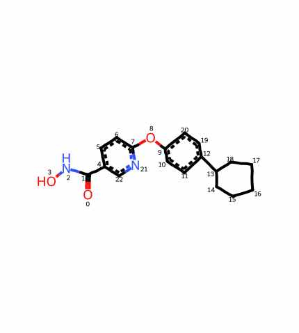 O=C(NO)c1ccc(Oc2ccc(C3CCCCC3)cc2)nc1